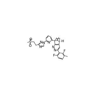 Cc1ccc(F)c(-c2cc3c(nn2)[C@]2(c4cccc(-n5cnc(CCS(C)(=O)=O)n5)n4)CC[C@@H]3C2(C)C)c1F